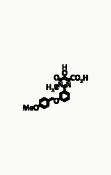 COc1ccc(COc2cccc(-c3nc(C(=O)O)c(O)c(=O)n3C)c2)cc1